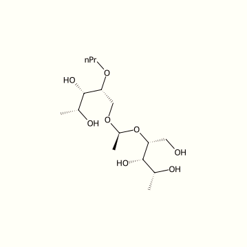 CCCO[C@H](CO[C@H](C)O[C@H](CO)[C@@H](O)[C@@H](C)O)[C@@H](O)[C@@H](C)O